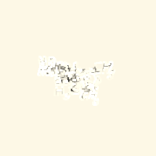 BC(C)(COC1CC(C)CCC1C(C)C)C(C)(C)CC(C)(N)O